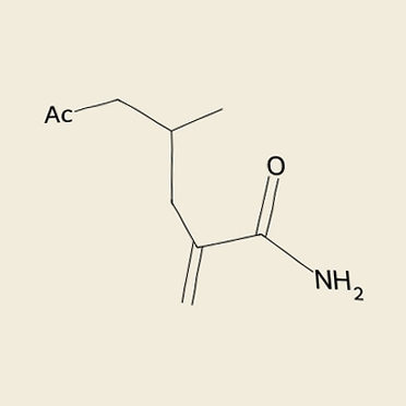 C=C(CC(C)CC(C)=O)C(N)=O